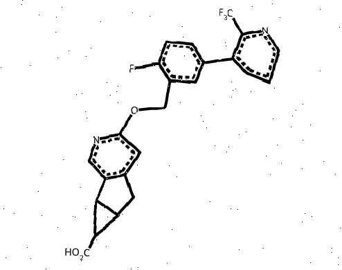 O=C(O)C1C2Cc3cc(OCc4cc(-c5cccnc5C(F)(F)F)ccc4F)ncc3C21